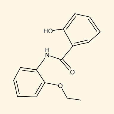 CCOc1ccccc1NC(=O)c1ccccc1O